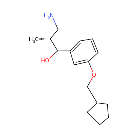 C[C@H](CN)C(O)c1cccc(OCC2CCCC2)c1